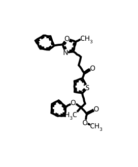 COC(=O)C(C)(Cc1ccc(C(=O)CCc2nc(-c3ccccc3)oc2C)s1)Oc1ccccc1